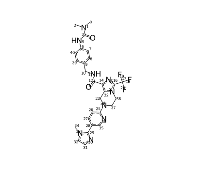 CN(C)C(=O)Nc1ccc(CNC(=O)c2nc(C(F)(F)F)n3c2CN(c2ccc(-c4nccn4C)cn2)CC3)cc1